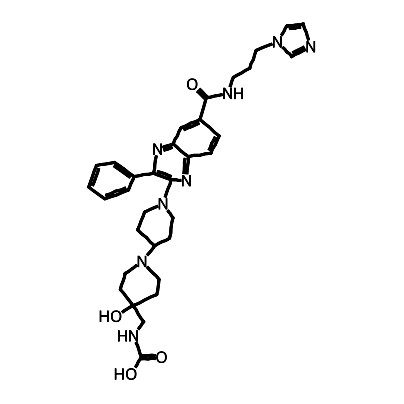 O=C(O)NCC1(O)CCN(C2CCN(c3nc4ccc(C(=O)NCCCn5ccnc5)cc4nc3-c3ccccc3)CC2)CC1